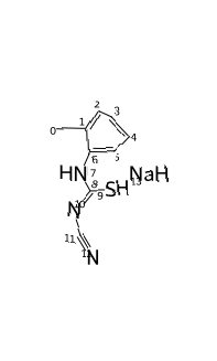 Cc1ccccc1NC(S)=NC#N.[NaH]